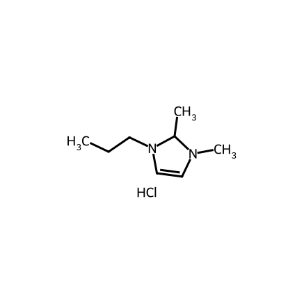 CCCN1C=CN(C)C1C.Cl